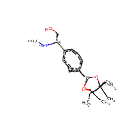 CC1(C)OB(c2ccc([C@H](CO)NC(=O)O)cc2)OC1(C)C